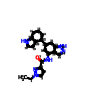 CCn1ccc(C(=O)Nc2cc(-c3cccc4[nH]ccc34)cc3[nH]ncc23)n1